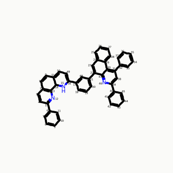 C1=Cc2ccc(-c3ccccc3)nc2C2NC(c3cccc(-c4cc5ccccc5c5c(-c6ccccc6)cc(-c6ccccc6)nc45)c3)=CC=C12